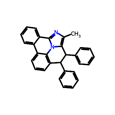 Cc1nc2c3ccccc3c3cccc4c3n2c1C(c1ccccc1)C4c1ccccc1